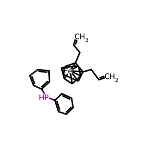 C=CC[C]12[CH]3[CH]4[CH]5[C]1(CC=C)[Fe]43521678[CH]2[CH]1[CH]6[CH]7[CH]28.c1ccc(Pc2ccccc2)cc1